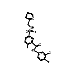 O=C(Nc1ccc(F)c(Cl)c1)c1cc(S(=O)(=O)NCc2ccco2)ccc1F